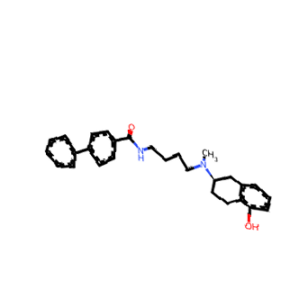 CN(CCCCNC(=O)c1ccc(-c2ccccc2)cc1)[C@@H]1CCc2c(O)cccc2C1